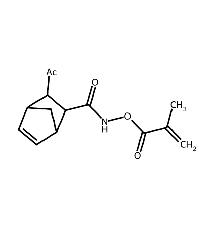 C=C(C)C(=O)ONC(=O)C1C2C=CC(C2)C1C(C)=O